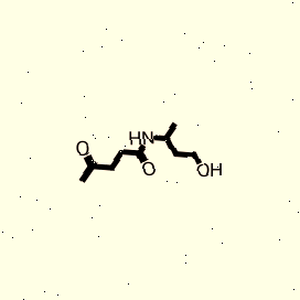 CC(=O)CCC(=O)NC(C)CCO